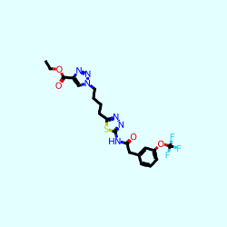 CCOC(=O)c1cn(CCCCc2nnc(NC(=O)Cc3cccc(OC(F)(F)F)c3)s2)nn1